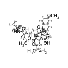 C=C[C@@H]1C[C@]1(NC(=O)[C@@H]1C[C@@H](Oc2nccc3cc(OC)ccc23)CN1C(=O)[C@H](CC(=O)C(=C)C)N(C(=O)O)C(C)(C)C)C(=O)NS(=O)(=O)C1CC1